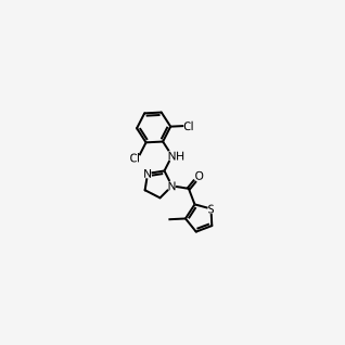 Cc1ccsc1C(=O)N1CCN=C1Nc1c(Cl)cccc1Cl